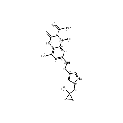 C=C(OC)[C@H]1C(=O)Nc2c(C)nc(NCc3cnn(CC4(C(F)(F)F)CC4)c3)nc2N1C